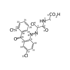 O=C(O)CNC(=O)C(Cl)/N=N/c1ccc(Cl)cc1C(=O)c1ccccc1Cl